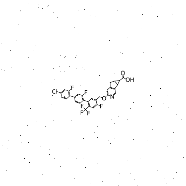 O=C(O)C1C2Cc3cc(OCc4cc(-c5ccc(-c6ccc(Cl)cc6F)cc5F)c(C(F)(F)F)cc4F)ncc3C21